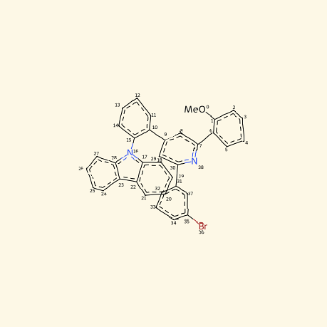 COc1ccccc1-c1cc(-c2ccccc2-n2c3ccccc3c3ccccc32)cc(-c2cccc(Br)c2)n1